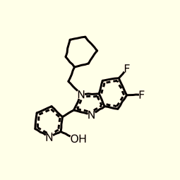 Oc1ncccc1-c1nc2cc(F)c(F)cc2n1CC1CCCCC1